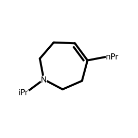 CCCC1=CCCN(C(C)C)CC1